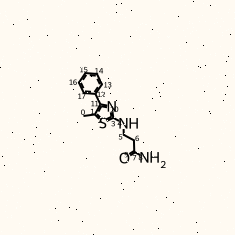 Cc1sc(NCCC(N)=O)nc1-c1ccccc1